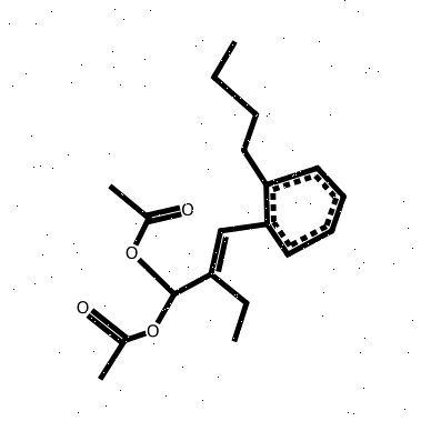 CCCCc1ccccc1/C=C(\CC)C(OC(C)=O)OC(C)=O